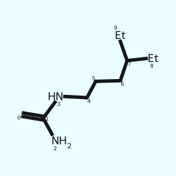 C=C(N)NCCCC(CC)CC